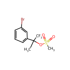 CC(OS(C)(=O)=O)(c1cccc(Br)c1)C(F)(F)F